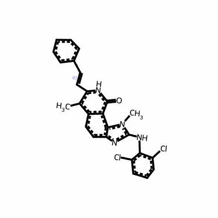 Cc1c(/C=C/c2ccccc2)[nH]c(=O)c2c1ccc1nc(Nc3c(Cl)cccc3Cl)n(C)c12